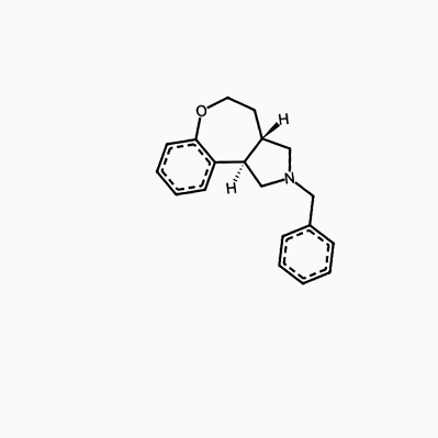 c1ccc(CN2C[C@H]3CCOc4ccccc4[C@@H]3C2)cc1